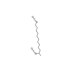 CC(CCCCCCCCCCN=C=O)N=C=O